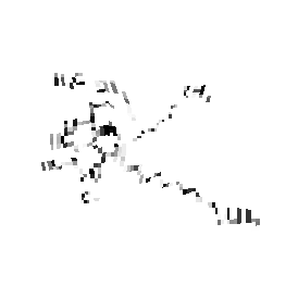 CCCCCCCCCCCCN(C(=O)CCCCCCCC)C1OC(CO)C(O)C(O)C1NC(=O)C(N)CC(C)C